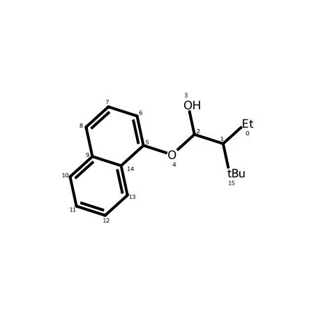 CCC(C(O)Oc1cccc2ccccc12)C(C)(C)C